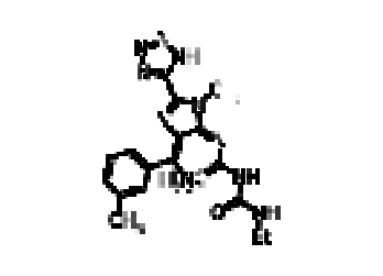 C=C(/N=C1\C(=C(/N)c2cccc(C)c2)N=C(c2nnn[nH]2)N1C)NC(=O)NCC